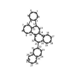 c1ccc2c(c1)-c1cccc3c1c-2cc1c2ccccc2c(-c2ccc4ccncc4c2)cc31